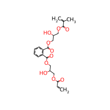 C=CC(=O)OCC(O)COC(=O)c1ccccc1C(=O)OCC(O)COC(=O)C(=C)C